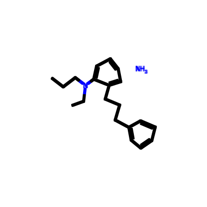 CCCN(CC)c1ccccc1CCCc1ccccc1.N